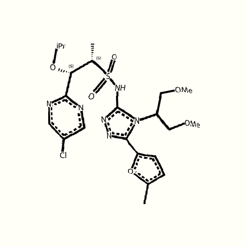 COCC(COC)n1c(NS(=O)(=O)[C@@H](C)[C@@H](OC(C)C)c2ncc(Cl)cn2)nnc1-c1ccc(C)o1